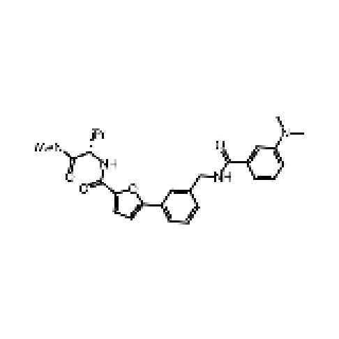 CNC(=O)[C@@H](NC(=O)c1ccc(-c2cccc(CNC(=O)c3cccc(N(C)C)c3)c2)o1)C(C)C